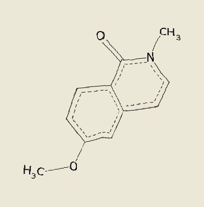 COc1ccc2c(=O)n(C)ccc2c1